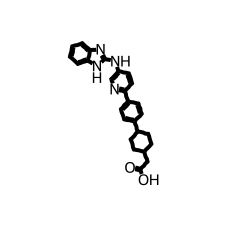 O=C(O)CC1CCC(c2ccc(-c3ccc(Nc4nc5ccccc5[nH]4)cn3)cc2)CC1